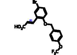 O=C(O)/C=C/c1cc(Br)ccc1OCc1ccc(OC(F)(F)F)cc1